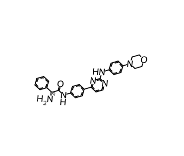 N[C@@H](C(=O)Nc1ccc(-c2ccnc(Nc3ccc(N4CCOCC4)cc3)n2)cc1)c1ccccc1